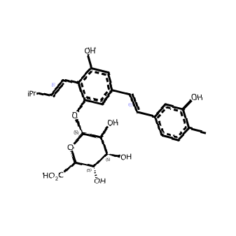 Cc1ccc(/C=C/c2cc(O)c(/C=C/C(C)C)c(O[C@@H]3OC(C(=O)O)[C@@H](O)[C@H](O)C3O)c2)cc1O